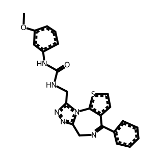 COc1cccc(NC(=O)NCc2nnc3n2-c2sccc2C(c2ccccc2)=NC3)c1